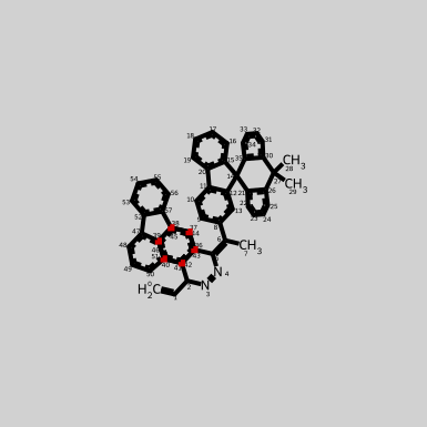 C=CC(/N=N\C(=C(/C)c1ccc2c(c1)C1(c3ccccc3-2)c2ccccc2C(C)(C)c2ccccc21)c1ccccc1)c1ccc2c3c(cccc13)-c1ccccc1-2